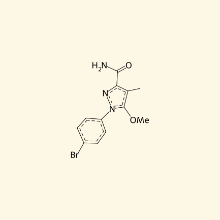 COc1c(C)c(C(N)=O)nn1-c1ccc(Br)cc1